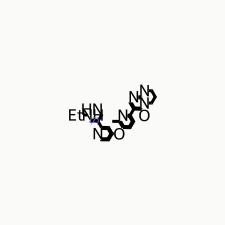 CCN/C=C(\C=N)c1cc(Oc2ccc(-c3cnc4n(c3=O)CCCN4C)nc2C)ccn1